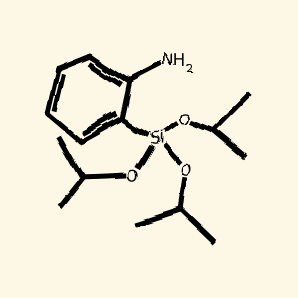 CC(C)O[Si](OC(C)C)(OC(C)C)c1ccccc1N